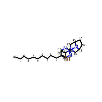 CCCCCCCCCCc1cnc(N2C3CCC2CN(C(C)S)C3)nc1